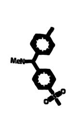 CNC(c1ccc(C)cc1)c1ccc(S(C)(=O)=O)cc1